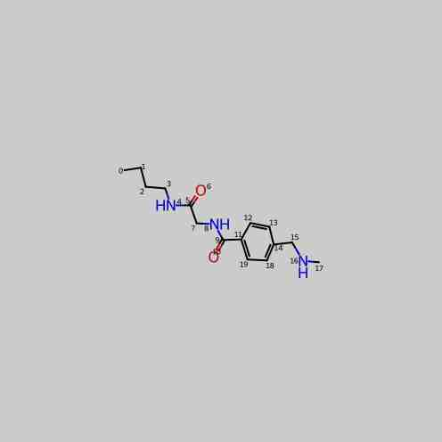 CCCCNC(=O)CNC(=O)c1ccc(CNC)cc1